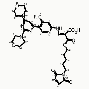 O=C(O)/C(=C\Nc1cc(C(F)(F)F)c(-c2cc(N3CCOCC3)nc(N3CCOCC3)n2)cn1)C(=O)OCCCCCN1C(=O)C=CC1=O